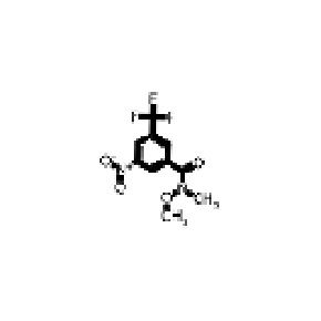 CON(C)C(=O)c1cc([N+](=O)[O-])cc(C(F)(F)F)c1